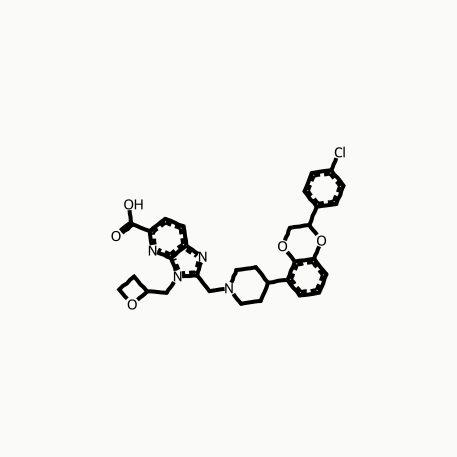 O=C(O)c1ccc2nc(CN3CCC(c4cccc5c4OCC(c4ccc(Cl)cc4)O5)CC3)n(CC3CCO3)c2n1